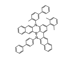 Cc1ccc(-c2ccccc2)cc1N1c2cc3ccccc3cc2B2c3c(cc(-c4c(C)cccc4C)cc31)-c1cc3ccccc3cc1N2c1ccc(-c2ccccc2)cc1